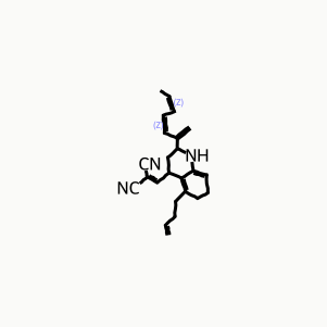 C=CCCC1=C2C(=CCC1)NC(C(=C)/C=C\C=C/C)CC2C=C(C#N)C#N